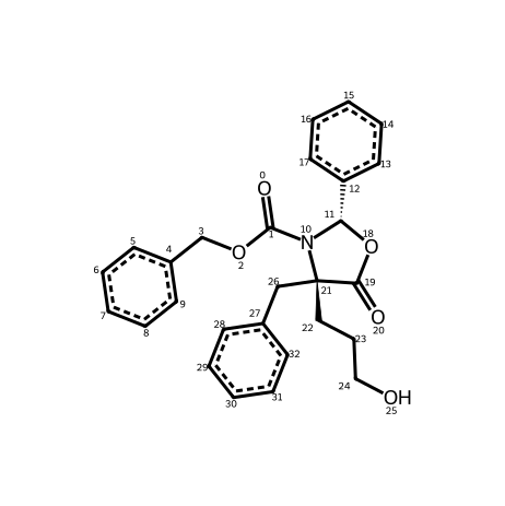 O=C(OCc1ccccc1)N1[C@H](c2ccccc2)OC(=O)[C@]1(CCCO)Cc1ccccc1